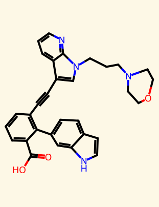 O=C(O)c1cccc(C#Cc2cn(CCCN3CCOCC3)c3ncccc23)c1-c1ccc2cc[nH]c2c1